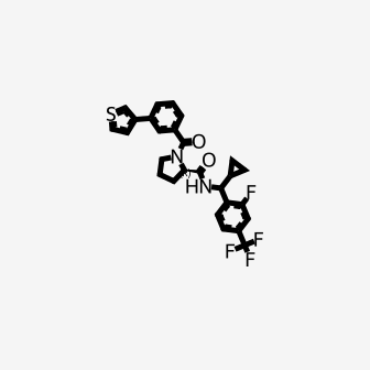 O=C(NC(c1ccc(C(F)(F)F)cc1F)C1CC1)[C@H]1CCCN1C(=O)c1cccc(-c2ccsc2)c1